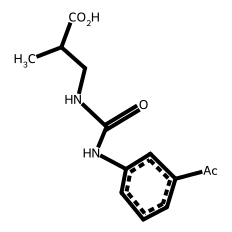 CC(=O)c1cccc(NC(=O)NCC(C)C(=O)O)c1